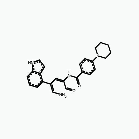 N/C=C(\C=C(/C=O)NC(=O)c1ccc(N2CCCCC2)cc1)c1cccc2[nH]ccc12